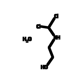 O.OCCNC(Cl)Cl